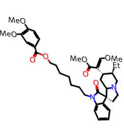 CC[C@H]1CN2CC[C@]3(C(=O)N(CCCCCCCOC(=O)c4ccc(OC)c(OC)c4)c4ccccc43)C2C[C@@H]1/C(=C\OC)C(=O)OC